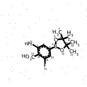 CCCc1cc(B2OC(C)(C)C(C)(C)O2)cc(F)c1C(=O)O